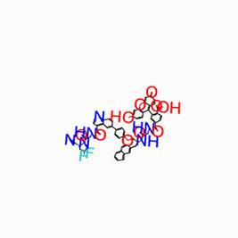 N#C[C@@H]1CC(F)(F)CN1C(=O)CNC(=O)c1ccnc2ccc(-c3ccc(OC[C@H](Cc4ccc5ccccc5c4)NC(=O)CNC(=O)c4ccc(C(=O)O)c(-c5c6ccc(=O)cc-6oc6cc(O)ccc56)c4)cc3)cc12